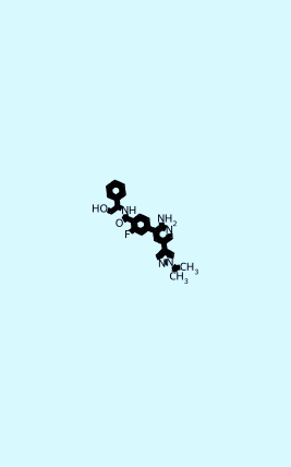 CC(C)n1cc(-c2cnc(N)c(-c3ccc(C(=O)NC(CO)c4ccccc4)c(F)c3)c2)cn1